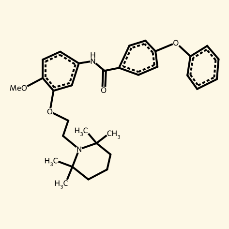 COc1ccc(NC(=O)c2ccc(Oc3ccccc3)cc2)cc1OCCN1C(C)(C)CCCC1(C)C